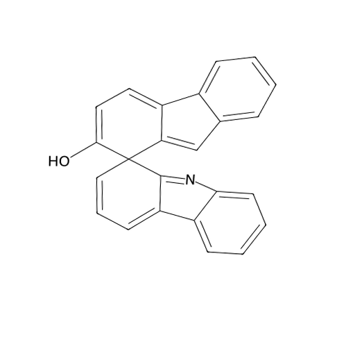 OC1=CC=C2C(=Cc3ccccc32)C12C=CC=C1C2=Nc2ccccc21